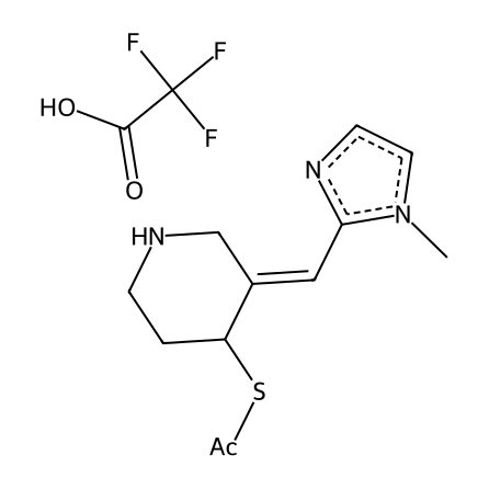 CC(=O)SC1CCNC/C1=C\c1nccn1C.O=C(O)C(F)(F)F